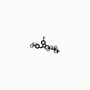 CC1=C(CC(=O)OCC(=O)OC(C)(C)C)c2cc(F)ccc2/C1=C\c1ccc([S+](C)[O-])cc1